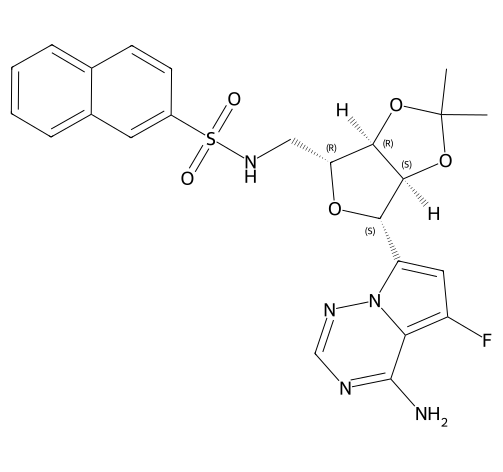 CC1(C)O[C@@H]2[C@H](O1)[C@@H](CNS(=O)(=O)c1ccc3ccccc3c1)O[C@H]2c1cc(F)c2c(N)ncnn12